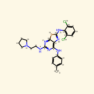 FC(F)(F)c1ccc(Nc2nc(NCCN3CCCC3)nc3sc(Nc4c(Cl)cccc4Cl)nc23)cc1